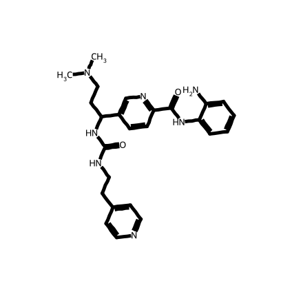 CN(C)CCC(NC(=O)NCCc1ccncc1)c1ccc(C(=O)Nc2ccccc2N)nc1